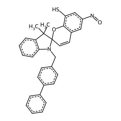 CC1(C)c2ccccc2N(Cc2ccc(-c3ccccc3)cc2)C12C=Cc1cc(N=O)cc(S)c1O2